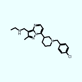 CCNCc1c(C)nn2c(C3CCCN(Cc4ccc(Cl)cc4)C3)ccnc12